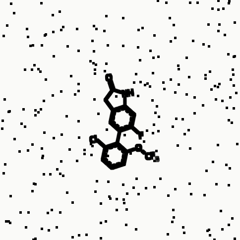 O=C1Cc2cc(-c3c(Cl)cccc3OC(F)(F)F)c(F)cc2N1